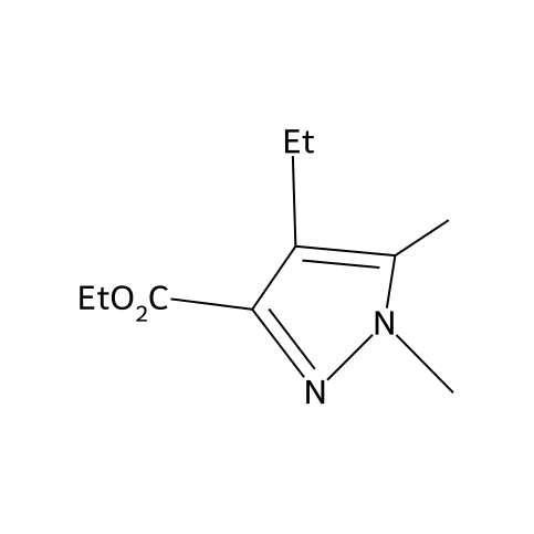 CCOC(=O)c1nn(C)c(C)c1CC